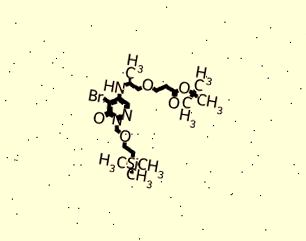 C[C@@H](COCCC(=O)OC(C)(C)C)Nc1cnn(COCC[Si](C)(C)C)c(=O)c1Br